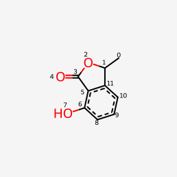 CC1OC(=O)c2c(O)cccc21